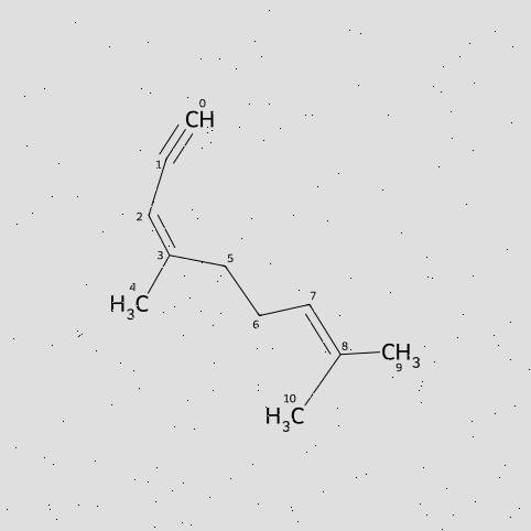 C#CC=C(C)CCC=C(C)C